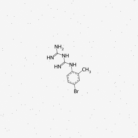 Cc1cc(Br)ccc1NC(=N)NC(=N)N